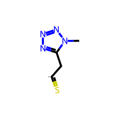 Cn1nnnc1C[C]=S